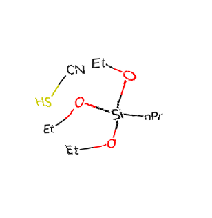 CCC[Si](OCC)(OCC)OCC.N#CS